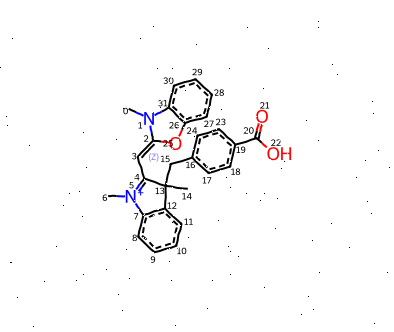 CN1/C(=C/C2=[N+](C)c3ccccc3C2(C)Cc2ccc(C(=O)O)cc2)Oc2ccccc21